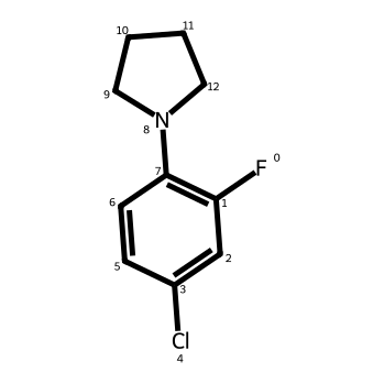 Fc1cc(Cl)ccc1N1CCCC1